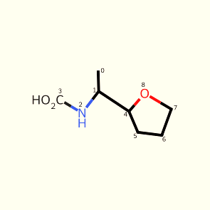 CC(NC(=O)O)C1CCCO1